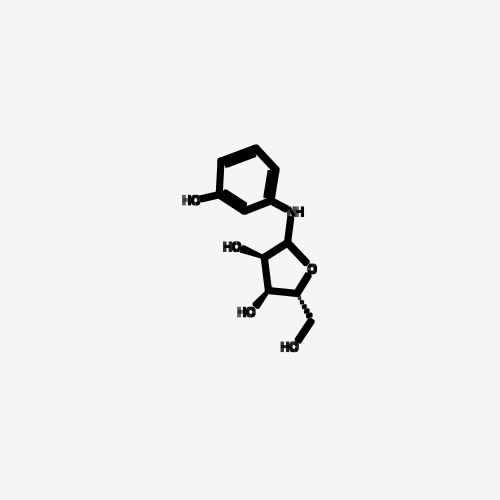 OC[C@H]1OC(Nc2cccc(O)c2)[C@H](O)[C@@H]1O